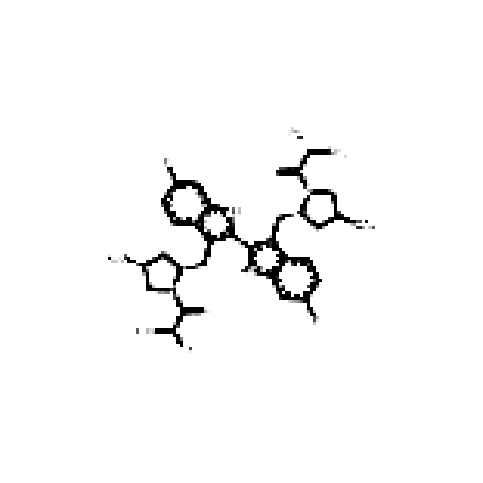 CCC(N)C(=O)N1C[C@@H](OC(C)=O)C[C@H]1Cc1c(-c2[nH]c3cc(F)ccc3c2C[C@@H]2CC(OC(C)=O)CN2C(=O)[C@@H](N)CC)[nH]c2cc(F)ccc12